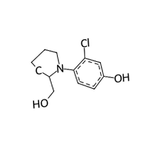 OCC1CCCCN1c1ccc(O)cc1Cl